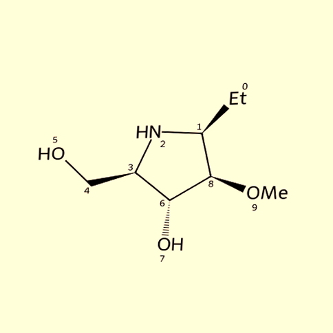 CC[C@@H]1N[C@H](CO)[C@@H](O)[C@@H]1OC